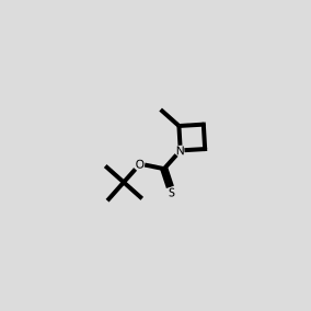 CC1CCN1C(=S)OC(C)(C)C